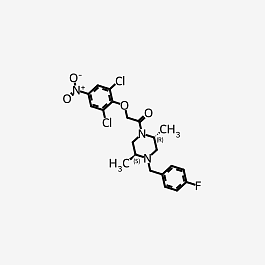 C[C@@H]1CN(Cc2ccc(F)cc2)[C@@H](C)CN1C(=O)COc1c(Cl)cc([N+](=O)[O-])cc1Cl